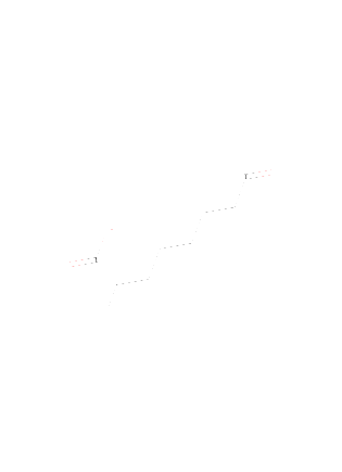 CC(CCCCCC(=O)Cl)C(=O)O